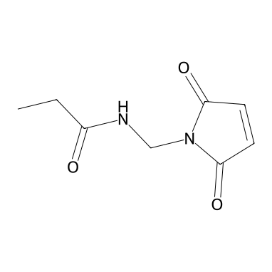 CCC(=O)NCN1C(=O)C=CC1=O